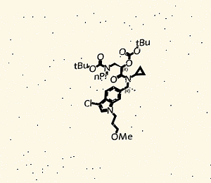 CCCN(C[C@@H](OC(=O)OC(C)(C)C)C(=O)N(C1CC1)[C@H](C)c1ccc2c(Cl)cn(CCCOC)c2c1)C(=O)OC(C)(C)C